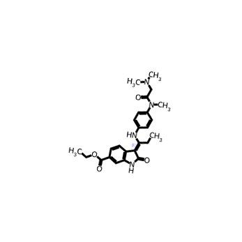 CCOC(=O)c1ccc2c(c1)NC(=O)/C2=C(\CC)Nc1ccc(N(C)C(=O)CN(C)C)cc1